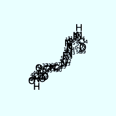 CC1(Oc2ccc3[nH]nc(-c4ccnc(N5CCN(CC6(F)CCN(CC7CCN(c8ccc9c(c8)C(=O)N(C8CCC(=O)NC8=O)C9=O)CC7)CC6)CC5)c4)c3c2)CC1